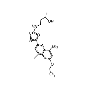 Cc1cc(-c2nnc(NCC[C@H](C)O)o2)nc2c(C(C)(C)C)cc(OCC(F)(F)F)cc12